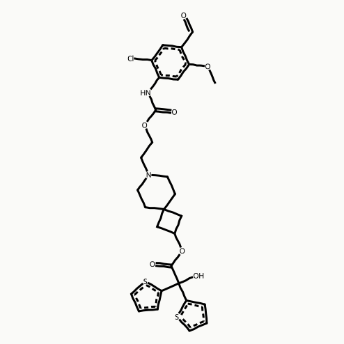 COc1cc(NC(=O)OCCN2CCC3(CC2)CC(OC(=O)C(O)(c2cccs2)c2cccs2)C3)c(Cl)cc1C=O